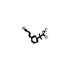 CCOC(=O)C(C)(C)c1cccc(/C=C/C#N)c1